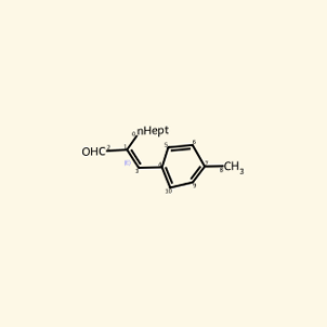 CCCCCCC/C(C=O)=C\c1ccc(C)cc1